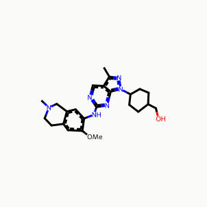 COc1cc2c(cc1Nc1ncc3c(C)nn(C4CCC(CO)CC4)c3n1)CN(C)CC2